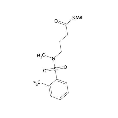 CNC(=O)CCCN(C)S(=O)(=O)c1ccccc1C(F)(F)F